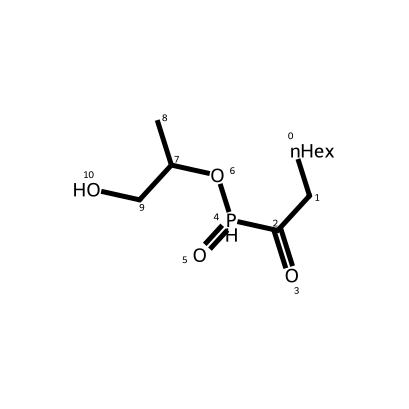 CCCCCCCC(=O)[PH](=O)OC(C)CO